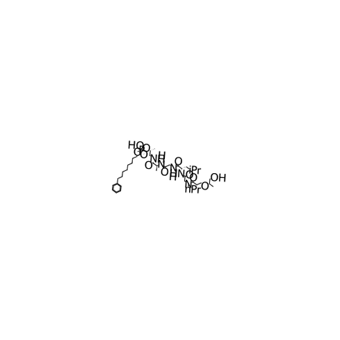 CCCN(CC(=O)N[C@@H](CC(C)C)C(=O)NCC(=O)N[C@@H](C)C(=O)NC[C@@H](C)OP(=O)(O)OCCCCCCCCc1ccccc1)C(=O)CCOC(C)CO